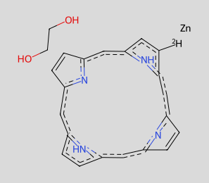 OCCO.[2H]c1cc2cc3nc(cc4ccc(cc5nc(cc1[nH]2)C=C5)[nH]4)C=C3.[Zn]